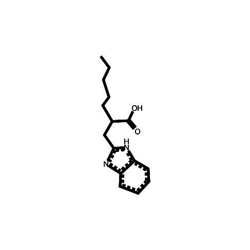 CCCCCC(Cc1nc2ccccc2[nH]1)C(=O)O